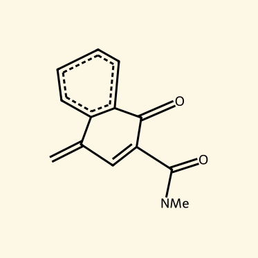 C=C1C=C(C(=O)NC)C(=O)c2ccccc21